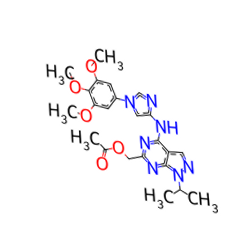 COc1cc(-n2cnc(Nc3nc(COC(C)=O)nc4c3cnn4C(C)C)c2)cc(OC)c1OC